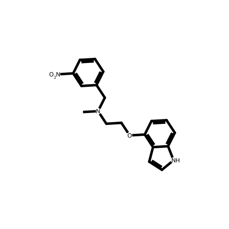 CN(CCOc1cccc2[nH]ccc12)Cc1cccc([N+](=O)[O-])c1